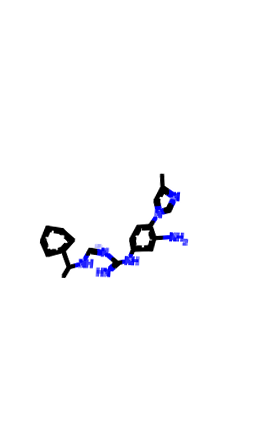 Cc1cn(-c2ccc(NC(=N)/N=C\NC(C)c3ccccc3)cc2N)cn1